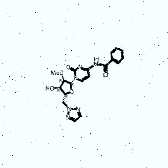 CO[C@@H]1[C@H](O)[C@@H](Cn2nccn2)O[C@H]1n1ccc(NC(=O)c2ccccc2)nc1=O